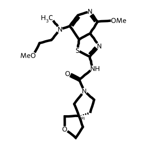 COCCN(C)C1=CN=C(OC)C2N=C(NC(=O)N3CC[C@@]4(CCOC4)C3)SC12